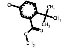 COC(=O)c1cc(Cl)ccc1C(C)(C)C